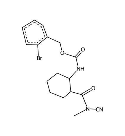 CN(C#N)C(=O)C1CCCCC1NC(=O)OCc1ccccc1Br